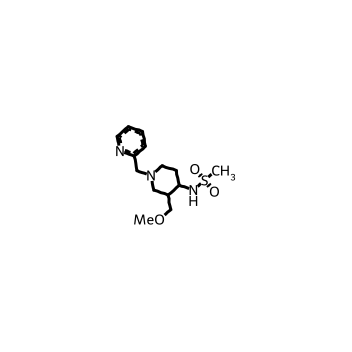 COCC1CN(Cc2ccccn2)CCC1NS(C)(=O)=O